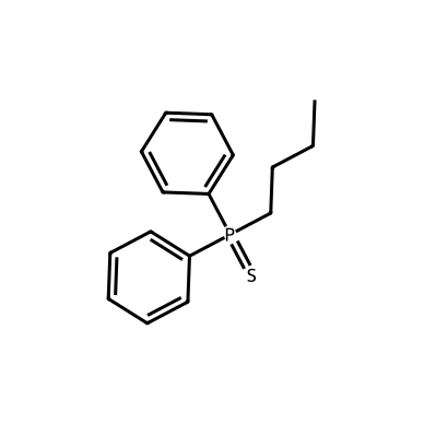 CCCCP(=S)(c1ccccc1)c1ccccc1